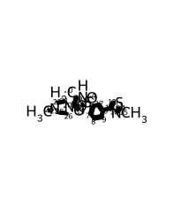 [CH2][C@H](NS(=O)(=O)c1cccc(-c2csc(C)n2)c1)C(=O)N1CCN(C)CC1